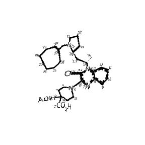 CC(=O)NC1(C(=O)O)CCN(c2nc3ccccc3n([C@@H](C)C[C@@H]3CCCN3C3CCCCCCC3)c2=O)CC1